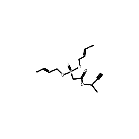 C#CC(C)OC(=O)CP(=O)(OCC=CC)OCC=CC